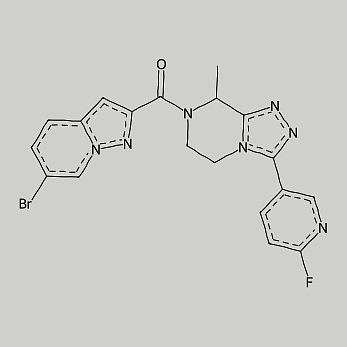 CC1c2nnc(-c3ccc(F)nc3)n2CCN1C(=O)c1cc2ccc(Br)cn2n1